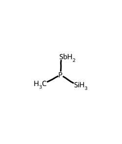 C[P]([SiH3])[SbH2]